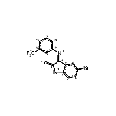 O=C1Nc2ccc(Br)cc2/C1=N/c1cccc(C(F)(F)F)c1